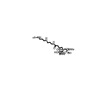 CCCNCCCNCCCNC(=O)CCCN(C[PH](O)(OC)OC)C[PH](O)(OC)OC